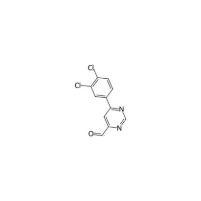 O=[C]c1cc(-c2ccc(Cl)c(Cl)c2)ncn1